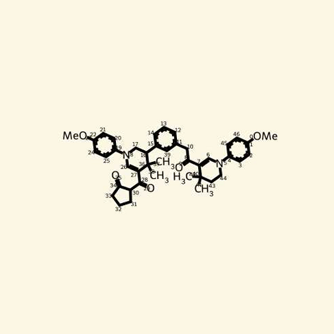 COc1ccc(N2C=C(C(=O)Cc3cccc(C4CN(c5ccc(OC)cc5)C=C(C(=O)C5CCCC5=O)C4(C)C)c3)C(C)(C)CC2)cc1